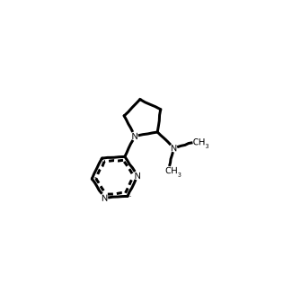 CN(C)C1CCCN1c1ccn[c]n1